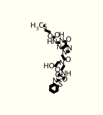 CSCCOC(=O)Nc1nc2c(ncn2CC(=O)N(CCNS(=O)(=O)c2nc3ccccc3s2)CC(=O)O)c(=O)[nH]1